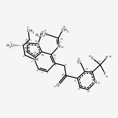 CC[C@@H](C)CN\C=C/C(CC(=O)c1ccnc(C(F)(F)F)c1Cl)=C(/N=C(/C)N)c1ccnn1C